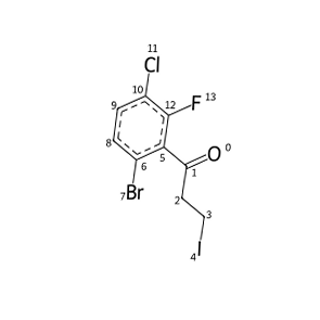 O=C(CCI)c1c(Br)ccc(Cl)c1F